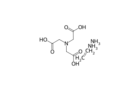 C=C.N.N.O=C(O)CN(CC(=O)O)CC(=O)O